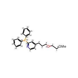 COCCOCCCc1ccnc(P(c2ccccc2)c2ccccc2)c1